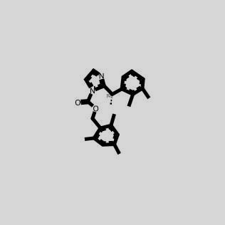 Cc1cc(C)c(COC(=O)n2ccnc2[C@@H](C)c2cccc(C)c2C)c(C)c1